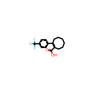 O=C(O)C1=C(c2ccc(C(F)(F)F)cc2)CCCCCC1